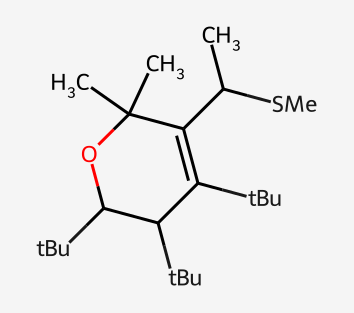 CSC(C)C1=C(C(C)(C)C)C(C(C)(C)C)C(C(C)(C)C)OC1(C)C